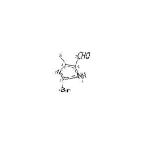 Cc1nc(Br)[nH]c1C=O